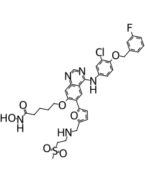 CS(=O)(=O)CCNCc1ccc(-c2cc3c(Nc4ccc(OCc5cccc(F)c5)c(Cl)c4)ncnc3cc2OCCCCC(=O)NO)o1